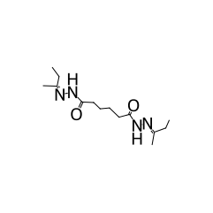 CCC(C)=NNC(=O)CCCCC(=O)NN=C(C)CC